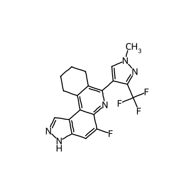 Cn1cc(-c2nc3c(F)cc4[nH]ncc4c3c3c2CCCC3)c(C(F)(F)F)n1